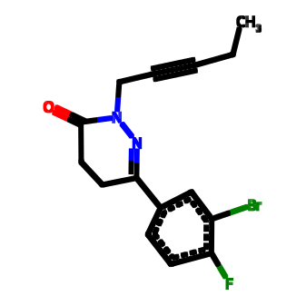 CCC#CCN1N=C(c2ccc(F)c(Br)c2)CCC1=O